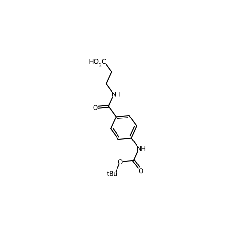 CC(C)(C)OC(=O)Nc1ccc(C(=O)NCCC(=O)O)cc1